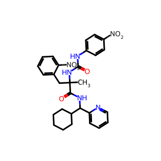 CC(Cc1ccccc1[N+](=O)[O-])(NC(=O)Nc1ccc([N+](=O)[O-])cc1)C(=O)NC(c1ccccn1)C1CCCCC1